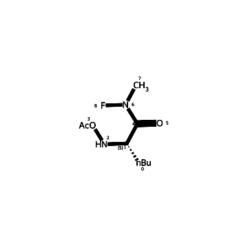 CCCC[C@H](NOC(C)=O)C(=O)N(C)F